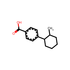 CC1CCCCC1c1ccc(C(=O)O)cc1